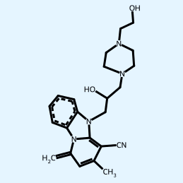 C=C1C=C(C)C(C#N)=C2N(CC(O)CN3CCN(CCO)CC3)c3ccccc3N12